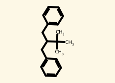 CC(C)(C)C(Cc1ccccc1)Cc1ccccc1